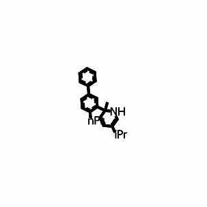 CCCc1ccc(-c2ccccc2)cc1C1(C)C=CC(C(C)C)=CN1